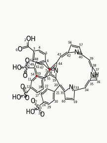 O=C(O)c1ccc(-c2c(-c3ccc(S(=O)(=O)O)cc3)c3c(-c4ccc(S(=O)(=O)O)cc4)c4nc(cc5ccc(cc6nc(cc2n3-c2ccc(S(=O)(=O)O)cc2)C=C6)[nH]5)C=C4)cc1